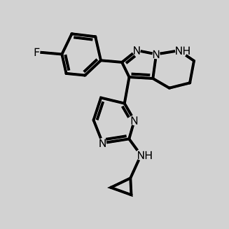 Fc1ccc(-c2nn3c(c2-c2ccnc(NC4CC4)n2)CCCN3)cc1